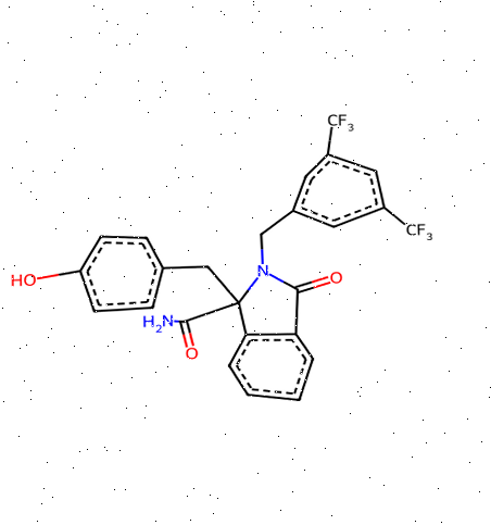 NC(=O)C1(Cc2ccc(O)cc2)c2ccccc2C(=O)N1Cc1cc(C(F)(F)F)cc(C(F)(F)F)c1